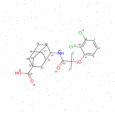 CC(C)(Oc1cccc(Cl)c1Cl)C(=O)NC1C2CC3CC1CC(C(=O)O)(C3)C2